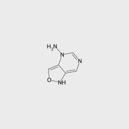 NN1C=NC=C2NOC=C21